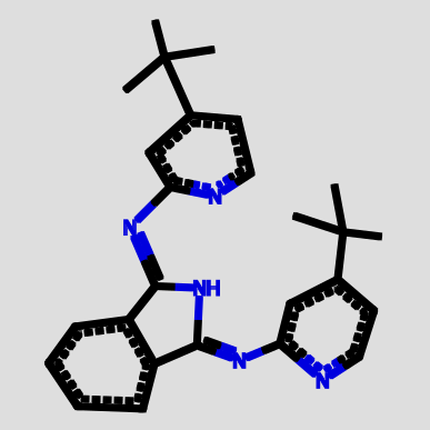 CC(C)(C)c1ccnc(N=C2NC(=Nc3cc(C(C)(C)C)ccn3)c3ccccc32)c1